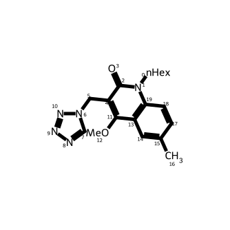 CCCCCCn1c(=O)c(Cn2cnnn2)c(OC)c2cc(C)ccc21